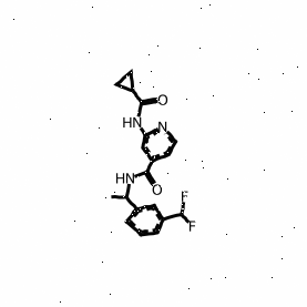 CC(NC(=O)c1ccnc(NC(=O)C2CC2)c1)c1cccc(C(F)F)c1